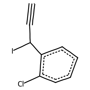 [C]#CC(I)c1ccccc1Cl